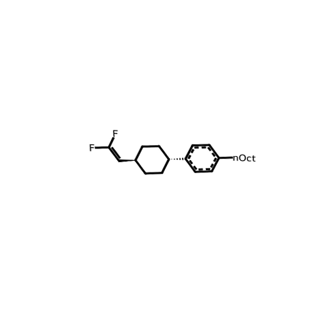 CCCCCCCCc1ccc([C@H]2CC[C@H](C=C(F)F)CC2)cc1